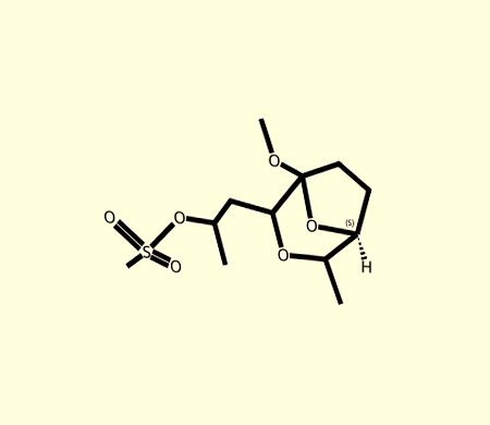 COC12CC[C@H](O1)C(C)OC2CC(C)OS(C)(=O)=O